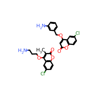 Cc1c(OCCCN)c2cc(Cl)ccc2oc1=O.Nc1cccc(COc2cc(=O)oc3ccc(Cl)cc23)c1